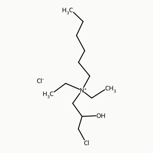 CCCCCC[N+](CC)(CC)CC(O)CCl.[Cl-]